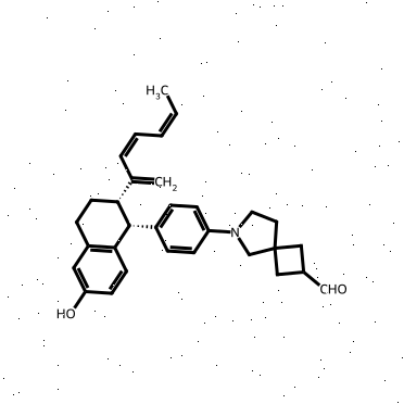 C=C(/C=C\C=C/C)[C@H]1CCc2cc(O)ccc2[C@H]1c1ccc(N2CCC3(CC(C=O)C3)C2)cc1